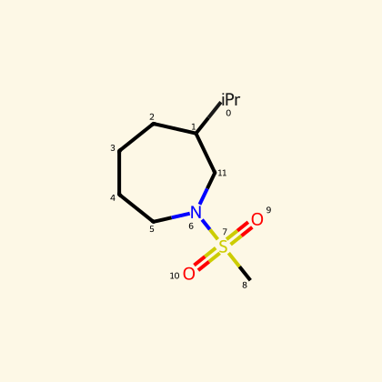 CC(C)C1CCCCN(S(C)(=O)=O)C1